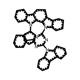 c1ccc(-c2nc(-n3c4ccccc4c4ccccc43)nc(-n3c4ccccc4c4ccc5c6ccccc6n(-c6ccccc6)c5c43)n2)cc1